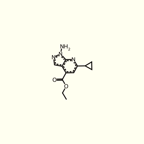 CCOC(=O)c1cc(C2CC2)nc2c1cnn2N